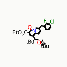 CCOC(=O)c1cc([C@H](CO[Si](C)(C)C(C)(C)C)C(C)(C)C)c2ccc(Cc3cccc(Cl)c3F)cn2c1=O